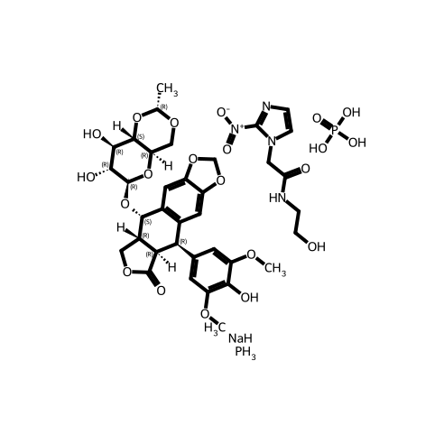 COc1cc([C@@H]2c3cc4c(cc3[C@@H](O[C@@H]3O[C@@H]5CO[C@@H](C)O[C@H]5[C@H](O)[C@H]3O)[C@H]3COC(=O)[C@H]23)OCO4)cc(OC)c1O.O=C(Cn1ccnc1[N+](=O)[O-])NCCO.O=P(O)(O)O.P.[NaH]